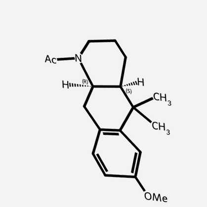 COc1ccc2c(c1)C(C)(C)[C@@H]1CCCN(C(C)=O)[C@@H]1C2